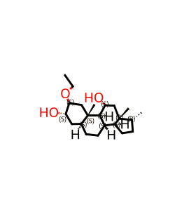 CCO[C@H]1C[C@@]2(C)[C@@H](CC[C@@H]3[C@@H]2[C@@H](O)C[C@]2(C)[C@H](C)CC[C@@H]32)C[C@@H]1O